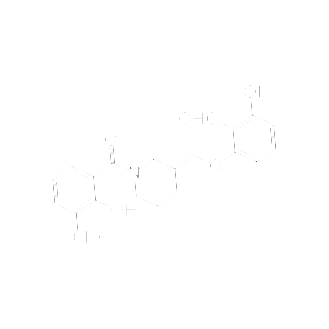 O=Cc1cccc(C(=O)N2CCCC(COc3cccc(O)c3C=O)C2)c1O